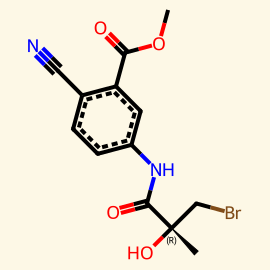 COC(=O)c1cc(NC(=O)[C@@](C)(O)CBr)ccc1C#N